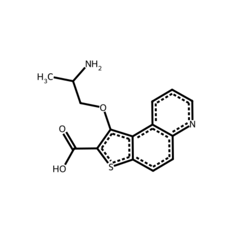 CC(N)COc1c(C(=O)O)sc2ccc3ncccc3c12